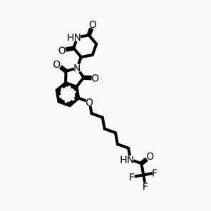 O=C1CCC(N2C(=O)c3cccc(OCCCCCCNC(=O)C(F)(F)F)c3C2=O)C(=O)N1